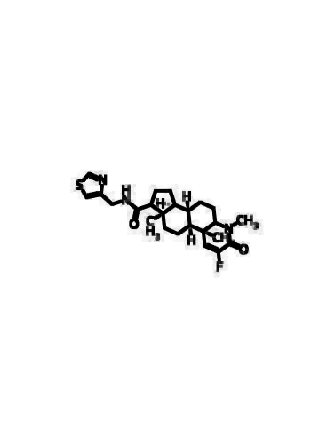 CN1C(=O)C(F)=C[C@@]2(C)C1CC[C@@H]1[C@H]2CC[C@]2(C)C(C(=O)NCc3cscn3)CC[C@@H]12